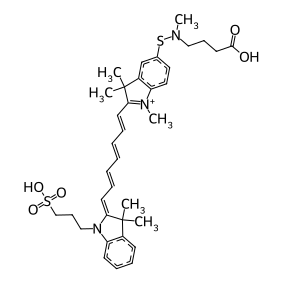 CN(CCCC(=O)O)Sc1ccc2c(c1)C(C)(C)C(/C=C/C=C/C=C/C=C1/N(CCCS(=O)(=O)O)c3ccccc3C1(C)C)=[N+]2C